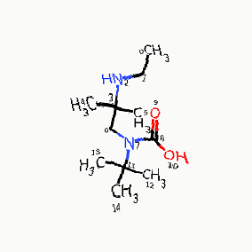 CCNC(C)(C)CN(C(=O)O)C(C)(C)C